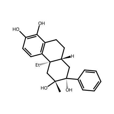 CC[C@@]12C[C@@](C)(O)[C@](O)(c3ccccc3)C[C@H]1CCc1c2ccc(O)c1O